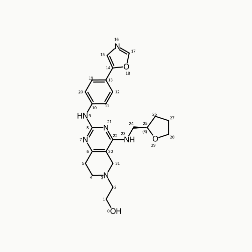 OCCN1CCc2nc(Nc3ccc(-c4cnco4)cc3)nc(NC[C@H]3CCCO3)c2C1